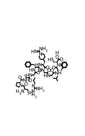 CC(C)C[C@H](NC(=O)[C@H](C)NC(=O)[C@H](CC1CCN(C(=N)N)CC1)NC(=O)[C@H](Cc1ccccc1)NC(=O)[C@H](CCCN=C(N)N)NC(=O)[C@H](C)NC(=O)[C@@H]1CCCN1C(=O)[C@@H](N)CS)C(=O)N[C@@H](Cc1ccccc1)C(=O)N[C@@H](CS)C(=O)O